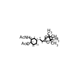 CC(=O)N[C@H]1C[C@H](CCB2OC(C)(C)C(C)(C)O2)CC[C@H]1OC(C)=O